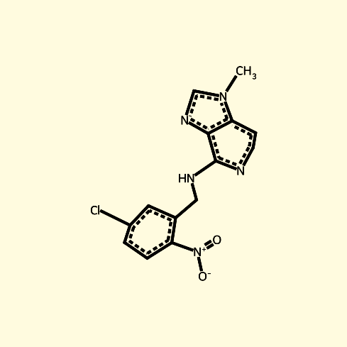 Cn1cnc2c(NCc3cc(Cl)ccc3[N+](=O)[O-])nccc21